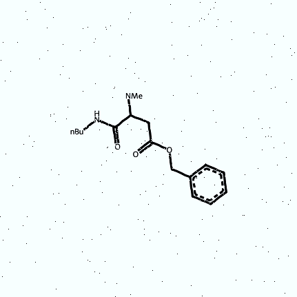 CCCCNC(=O)C(CC(=O)OCc1ccccc1)NC